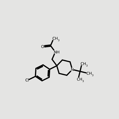 CC(=O)NCC1(c2ccc(Cl)cc2)CCN(C(C)(C)C)CC1